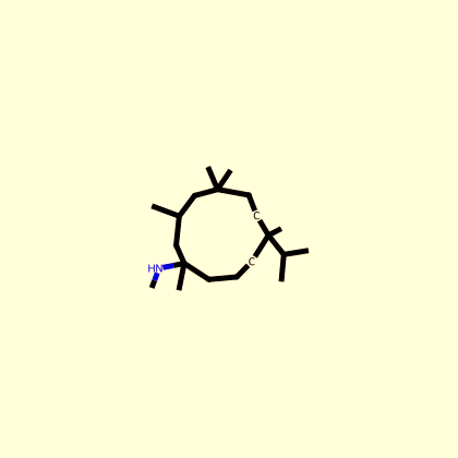 CNC1(C)CCCC(C)(C(C)C)CCC(C)(C)CC(C)C1